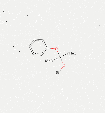 CCCCCC[Si](OC)(OCC)Oc1ccccc1